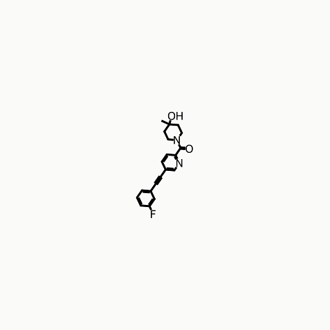 CC1(O)CCN(C(=O)c2ccc(C#Cc3cccc(F)c3)cn2)CC1